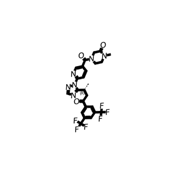 C[C@H](CC(=O)c1cc(C(F)(F)F)cc(C(F)(F)F)c1)c1ncnn1-c1ccc(C(=O)N2CCN(C)C(=O)C2)cn1